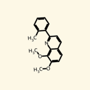 COc1ccc2ccc(-c3ccccc3C)nc2c1OC